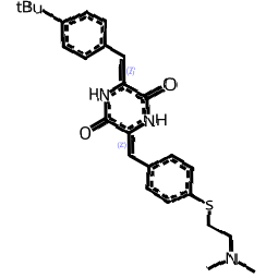 CN(C)CCSc1ccc(/C=c2\[nH]c(=O)/c(=C/c3ccc(C(C)(C)C)cc3)[nH]c2=O)cc1